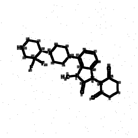 Cn1c(=O)n(N2C(=O)CCCC2=O)c2cccc(N3CCN([C@H]4CCNCC4(F)F)CC3)c21